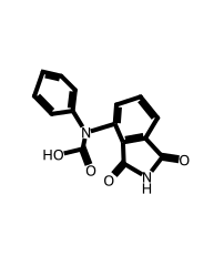 O=C1NC(=O)c2c1cccc2N(C(=O)O)c1ccccc1